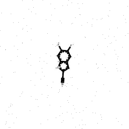 N#Cc1cc2cc(F)c(F)cc2o1